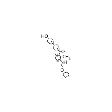 Cc1c(NCCOc2ccccc2)ncnc1C(=O)N1CCC(N2CCC(O)CC2)CC1